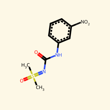 CS(C)(=O)=NC(=O)Nc1cccc([N+](=O)[O-])c1